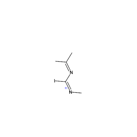 C/N=C(/I)N=C(C)C